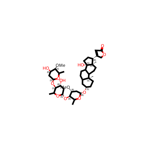 CO[C@@H]1C(C)O[C@@H](O[C@@H]2C(C)O[C@@H](O[C@@H]3C(C)O[C@@H](O[C@H]4CC[C@@]5(C)C(CCC6C5CC[C@]5(C)[C@@H](C7=CC(=O)OC7)CC[C@]65O)C4)C[C@H]3OC)C[C@H]2O)C[C@H]1O